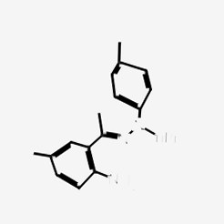 CCCN(/N=C(\C)c1cc(C)ccc1N)c1ccc(C)cc1